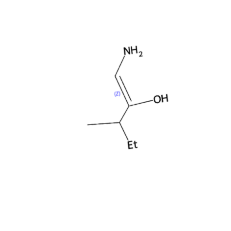 CCC(C)/C(O)=C/N